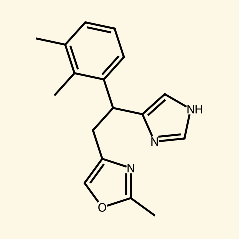 Cc1nc(CC(c2c[nH]cn2)c2cccc(C)c2C)co1